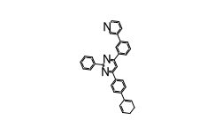 C1=CC(c2ccc(-c3cc(-c4cccc(-c5cccnc5)c4)nc(-c4ccccc4)n3)cc2)=CCC1